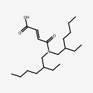 CCCCC(CC)CN(CC(CC)CCCC)C(=O)C=CC(=O)O